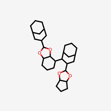 C1CC2CC(C1)CC(C1OC3CCCC(C4C5CCCC(C5)CC4C4OC5CCCC5O4)C3O1)C2